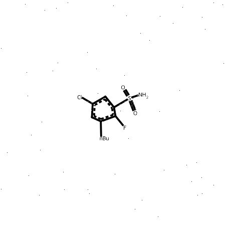 CCCCc1cc(Cl)cc(S(N)(=O)=O)c1F